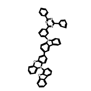 c1ccc(-c2nc(-c3ccccc3)nc(-c3cccc(-n4c5ccccc5c5cc(-c6ccc7c(c6)Oc6ccccc6N7c6cccc7c6oc6ccccc67)ccc54)c3)n2)cc1